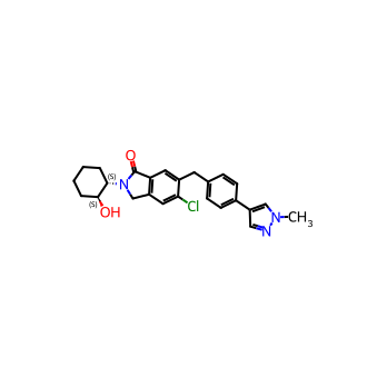 Cn1cc(-c2ccc(Cc3cc4c(cc3Cl)CN([C@H]3CCCC[C@@H]3O)C4=O)cc2)cn1